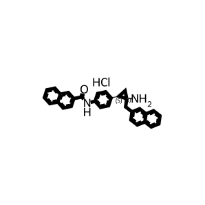 Cl.N[C@@]1(Cc2ccc3ccccc3c2)C[C@H]1c1ccc(NC(=O)c2ccc3ccccc3c2)cc1